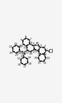 Clc1cc2sc3c4ccccc4c(N(c4ccccc4)c4ccccc4)cc3c2c2ccccc12